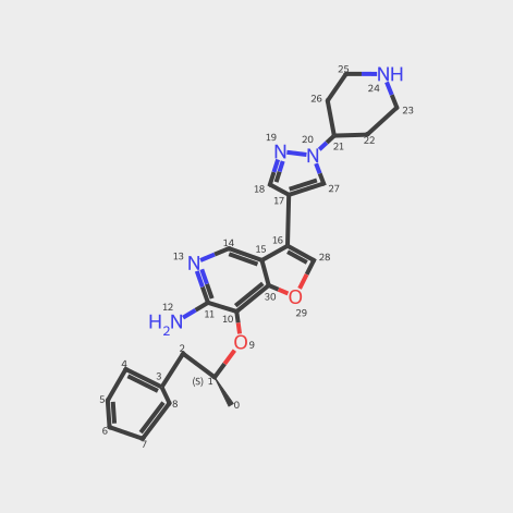 C[C@@H](Cc1ccccc1)Oc1c(N)ncc2c(-c3cnn(C4CCNCC4)c3)coc12